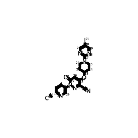 [C-]#[N+]c1ccc(-n2nc(C#N)c(OC3CCN(c4ncc(I)cn4)CC3)cc2=O)cn1